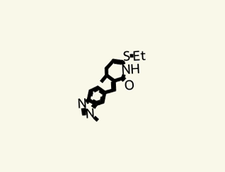 CCSC1=CCC(C)/C(=C\c2ccc3ncn(C)c3c2)C(=O)N1